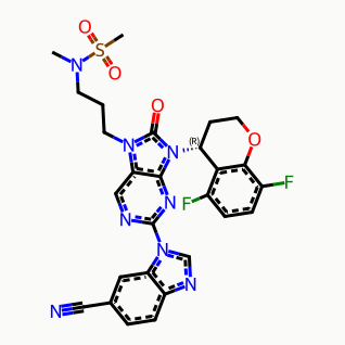 CN(CCCn1c(=O)n([C@@H]2CCOc3c(F)ccc(F)c32)c2nc(-n3cnc4ccc(C#N)cc43)ncc21)S(C)(=O)=O